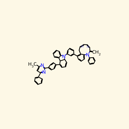 C=C1/C=C\C=C/Cc2c(-c3cccc(N4c5ccccc5C5C(c6ccc(-c7nc(C)cc(-c8ccccc8)n7)cc6)=CC=CC54)c3)cccc2N1c1ccccc1